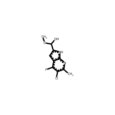 COC(O)c1cc2c(F)c(Cl)c(C)nc2[nH]1